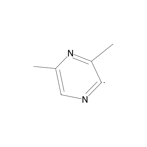 Cc1[c]ncc(C)n1